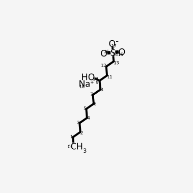 CCCCCCCCCC(O)CCCS(=O)(=O)[O-].[Na+]